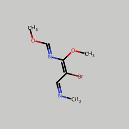 C\N=C/C(Br)=C(\N=C\OC)OC